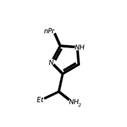 CCCc1nc(C(N)CC)c[nH]1